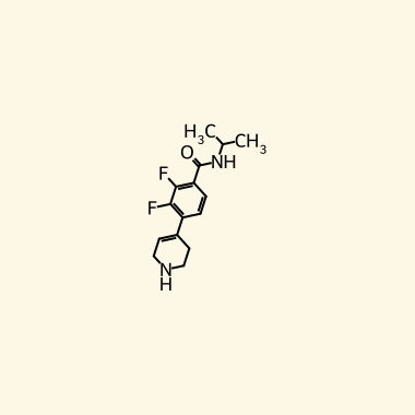 CC(C)NC(=O)c1ccc(C2=CCNCC2)c(F)c1F